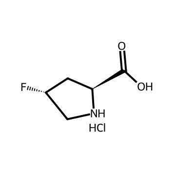 Cl.O=C(O)[C@@H]1C[C@@H](F)CN1